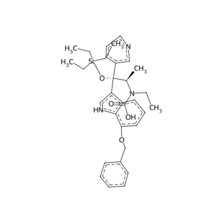 CCN(C(=O)O)[C@H](C)[C@](O[Si](CC)(CC)CC)(c1cccnc1)c1c[nH]c2c(OCc3ccccc3)cccc12